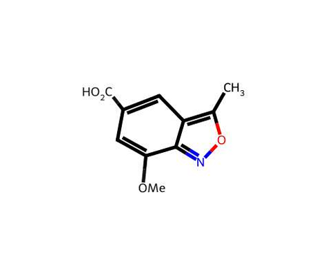 COc1cc(C(=O)O)cc2c(C)onc12